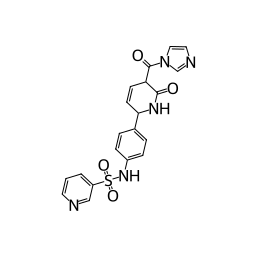 O=C1NC(c2ccc(NS(=O)(=O)c3cccnc3)cc2)C=CC1C(=O)n1ccnc1